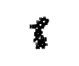 CN(c1ccc(-c2cc3cnccc3cc2O)nn1)[C@H]1C[C@@H]2CC[C@@H](C2)[C@H]1F